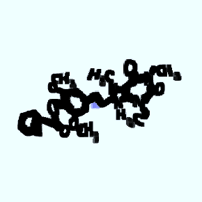 CCn1c(=O)c2c(nc(/C=C/c3cc(OC)c(OC(=O)c4ccccc4)c(OC)c3)n2C)n(CC)c1=O